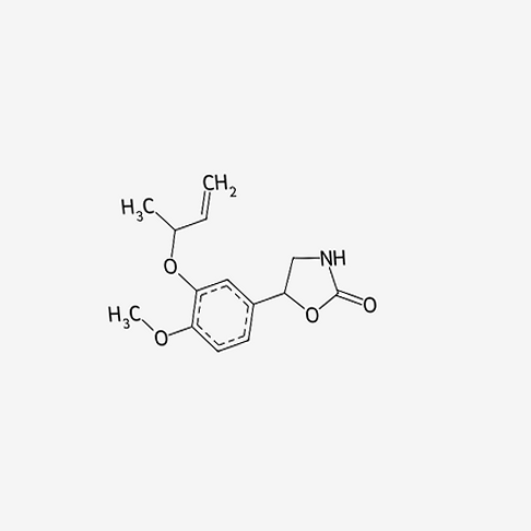 C=CC(C)Oc1cc(C2CNC(=O)O2)ccc1OC